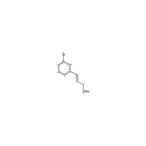 COC/C=C/c1cccc(Br)c1